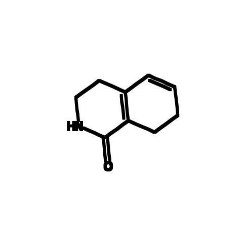 O=C1NCCC2=C1CCC=C2